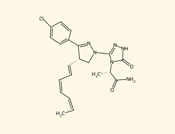 C\C=C/C=C\C=C\[C@H]1CN(c2n[nH]c(=O)n2[C@@H](C)C(N)=O)N=C1c1ccc(Cl)cc1